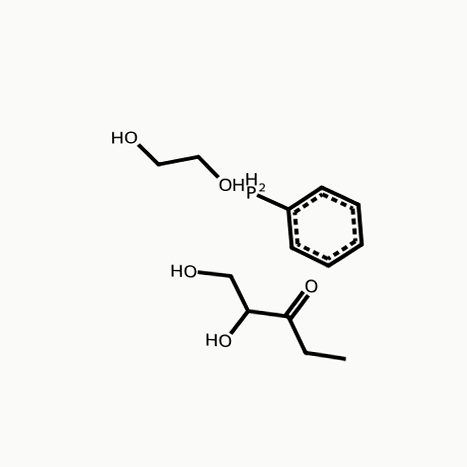 CCC(=O)C(O)CO.OCCO.Pc1ccccc1